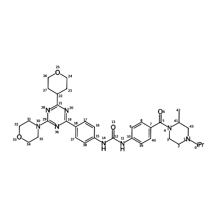 CC(C)N1CCN(C(=O)c2ccc(NC(=O)Nc3ccc(-c4nc(C5CCOCC5)nc(N5CCOCC5)n4)cc3)cc2)C(C)C1